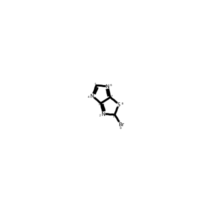 BrC1N=C2N=CN=C2S1